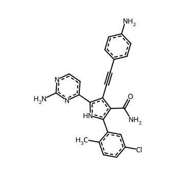 Cc1ccc(Cl)cc1-c1[nH]c(-c2ccnc(N)n2)c(C#Cc2ccc(N)cc2)c1C(N)=O